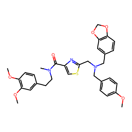 COc1ccc(CN(Cc2ccc3c(c2)OCO3)Cc2nc(C(=O)N(C)CCc3ccc(OC)c(OC)c3)cs2)cc1